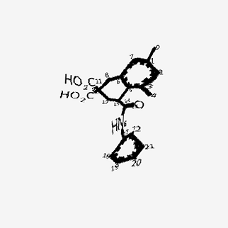 Cc1cc(C)c2c(c1)CC(C(=O)O)(C(=O)O)CC2C(=O)Nc1ccccc1